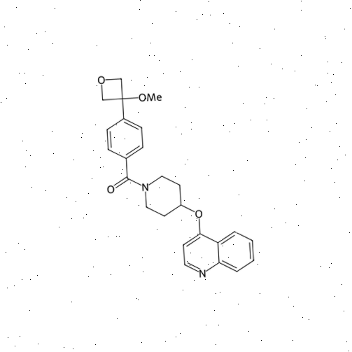 COC1(c2ccc(C(=O)N3CCC(Oc4ccnc5ccccc45)CC3)cc2)COC1